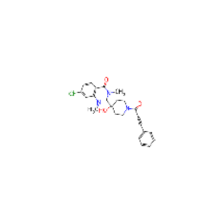 C=Nc1cc(Cl)ccc1C(=O)N(C)CC1(O)CCN(C(=O)C#Cc2ccccc2)CC1